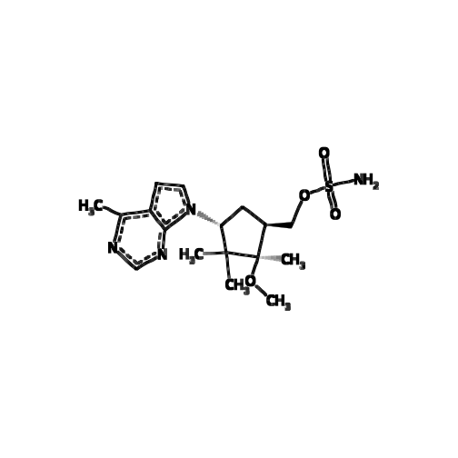 CO[C@]1(C)[C@H](COS(N)(=O)=O)C[C@@H](n2ccc3c(C)ncnc32)C1(C)C